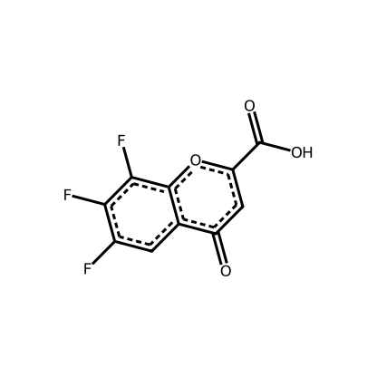 O=C(O)c1cc(=O)c2cc(F)c(F)c(F)c2o1